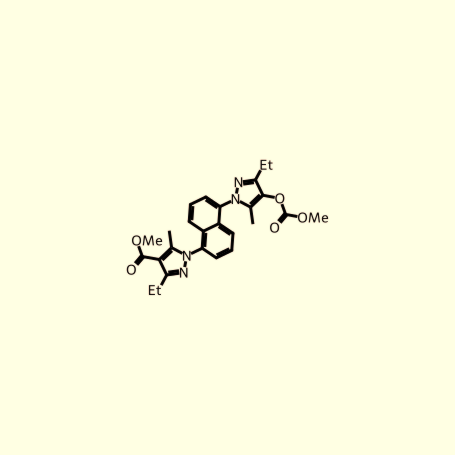 CCc1nn(-c2cccc3c(-n4nc(CC)c(C(=O)OC)c4C)cccc23)c(C)c1OC(=O)OC